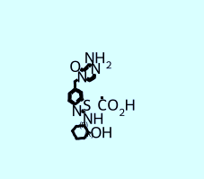 CC(=O)O.Nc1nccn(Cc2ccc3nc(N[C@@H]4CCCC[C@H]4O)sc3c2)c1=O